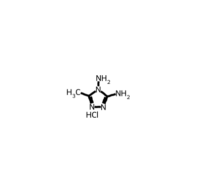 Cc1nnc(N)n1N.Cl